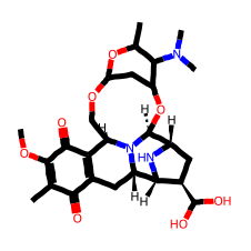 COC1=C(C)C(=O)C2=C(C1=O)[C@@H]1COC3CC(O[C@H]4[C@@H]5C[C@@H](C(O)O)[C@@H](N5)[C@H](C2)N14)C(N(C)C)C(C)O3